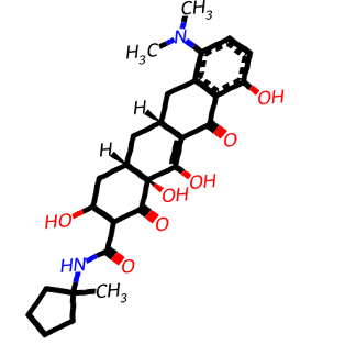 CN(C)c1ccc(O)c2c1C[C@H]1C[C@H]3CC(O)C(C(=O)NC4(C)CCCC4)C(=O)[C@@]3(O)C(O)=C1C2=O